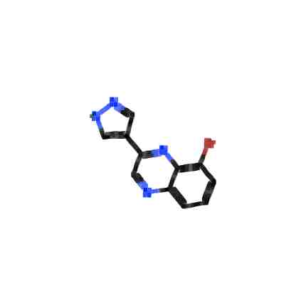 Brc1cccc2ncc(C3=C[N]N=C3)nc12